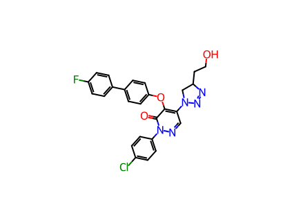 O=c1c(Oc2ccc(-c3ccc(F)cc3)cc2)c(N2CC(CCO)N=N2)cnn1-c1ccc(Cl)cc1